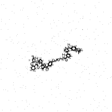 CN[C@@H](C)C(=O)N[C@H](C(=O)N1CCC[C@H]1c1nc(C(=O)c2ccc(OCCOCCNC(=O)c3cccc(-c4cc(Nc5ccc(OC(F)(F)F)cc5)ncn4)c3)cc2)cs1)C1CCCCC1